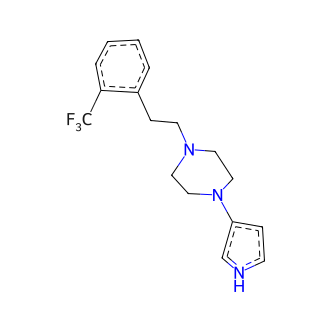 FC(F)(F)c1ccccc1CCN1CCN(c2cc[nH]c2)CC1